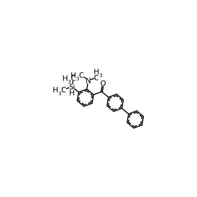 CN(C)c1c(C(=O)c2ccc(-c3ccccc3)cc2)cccc1[SiH](C)C